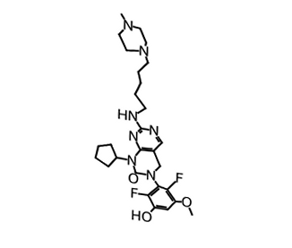 COc1cc(O)c(F)c(N2Cc3cnc(NCCCCCN4CCN(C)CC4)nc3N(C3CCCC3)C2=O)c1F